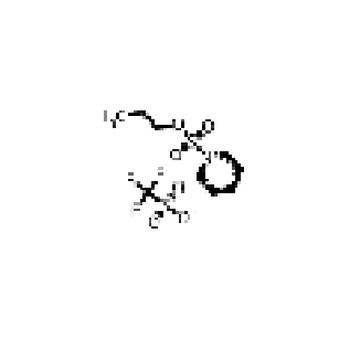 CCCOS(=O)(=O)[n+]1ccccc1.O=S(=O)([O-])C(F)(F)F